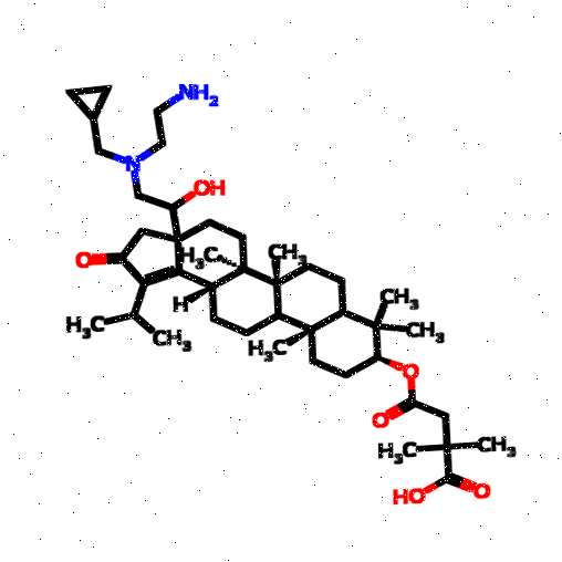 CC(C)C1=C2[C@H]3CCC4[C@@]5(C)CC[C@H](OC(=O)CC(C)(C)C(=O)O)C(C)(C)C5CC[C@@]4(C)[C@]3(C)CCC2(C(O)CN(CCN)CC2CC2)CC1=O